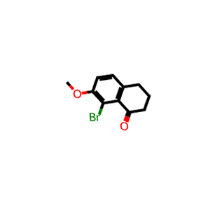 COc1ccc2c(c1Br)C(=O)CCC2